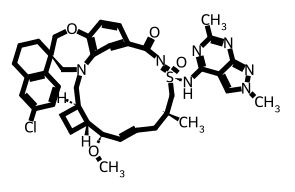 CO[C@H]1/C=C/C[C@H](C)C[S@@](=O)(Nc2nc(C)nc3nn(C)cc23)=NC(=O)c2ccc3c(c2)N(C[C@@H]2CC[C@H]21)C[C@@]1(CCCc2cc(Cl)ccc21)CO3